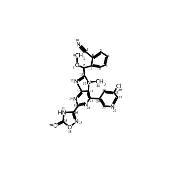 COC(c1ccccc1C#N)c1nc2nc(-c3noc(=O)[nH]3)nc(-c3cncc(Cl)c3)c2n1C